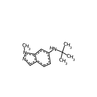 Cn1ncc2ccc(NC(C)(C)C)cc21